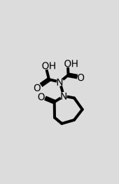 O=C1CCCCCN1N(C(=O)O)C(=O)O